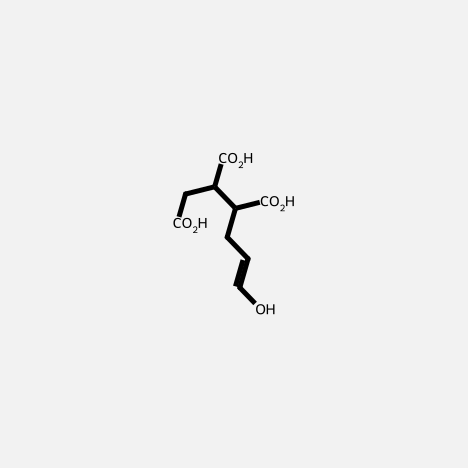 O=C(O)CC(C(=O)O)C(CC=CO)C(=O)O